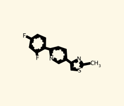 Cc1nc(-c2ccc(-c3ccc(F)cc3F)nc2)cs1